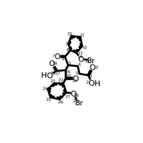 O=C(O)CCC(C(=O)c1ccccc1OBr)C(C(=O)O)C(=O)c1ccccc1OBr